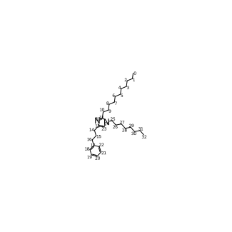 CCCCCCCCCCCc1nc(CCCc2ccccc2)cn1CCCCCCCC